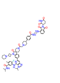 Cc1cc(F)c(Nc2nc(-c3ccc4c(c3)N([C@H]3C[C@@H](N5CCCCC5)C3)C(=O)C43CCN(C(=O)CN4CCC(c5ccc(C(=O)NCCNc6cccc7c6C(=O)N(C6CCC(=O)NC6=O)C7=O)cc5)CC4)CC3)cc3ncn(C(C)C)c23)cc1C(=O)NC(C)C